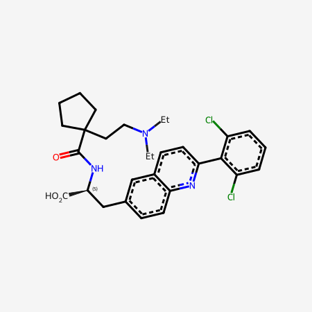 CCN(CC)CCC1(C(=O)N[C@@H](Cc2ccc3nc(-c4c(Cl)cccc4Cl)ccc3c2)C(=O)O)CCCC1